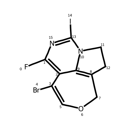 FC1=C2C(Br)=COCC3=C2N(CC3)C(I)=N1